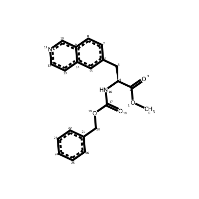 COC(=O)[C@H](Cc1ccc2cnccc2c1)NC(=O)OCc1ccccc1